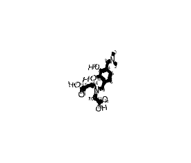 CN(C)Cc1ccc(CN(CC(=O)O)CC(=O)O)c(O)c1O